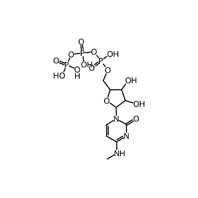 CNc1ccn(C2OC(COP(=O)(O)OP(=O)(O)OP(=O)(O)O)C(O)C2O)c(=O)n1